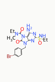 CCN(C)C(=O)n1c(=O)n(Cc2ccc(Br)cc2)c2nc(S(=N)(=O)CC)nc(N)c21